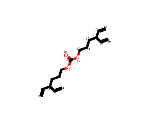 C=CC(C=C)CCCOC(=O)OCCCC(C=C)C=C